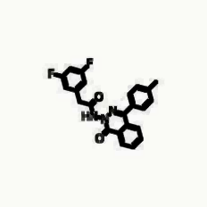 Cc1ccc(-c2nn(NC(=O)Cc3cc(F)cc(F)c3)c(=O)c3ccccc23)cc1